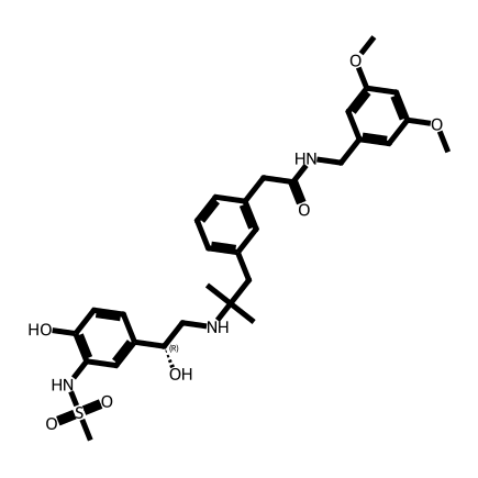 COc1cc(CNC(=O)Cc2cccc(CC(C)(C)NC[C@H](O)c3ccc(O)c(NS(C)(=O)=O)c3)c2)cc(OC)c1